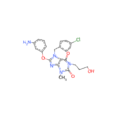 Cn1c(=O)n(CCCO)c(=O)c2c1nc(Oc1cccc(N)c1)n2Cc1ccc(Cl)cc1